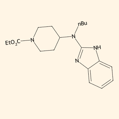 CCCCN(c1nc2ccccc2[nH]1)C1CCN(C(=O)OCC)CC1